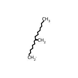 [CH2]CCCCCCCC(=C)CCCCCCCCC